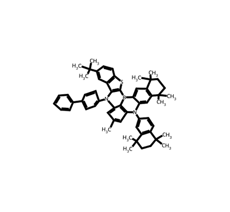 Cc1cc2c3c(c1)N(c1ccc(-c4ccccc4)cc1)c1c(sc4ccc(C(C)(C)C)cc14)B3c1cc3c(cc1N2c1ccc2c(c1)C(C)(C)CCC2(C)C)C(C)(C)CCC3(C)C